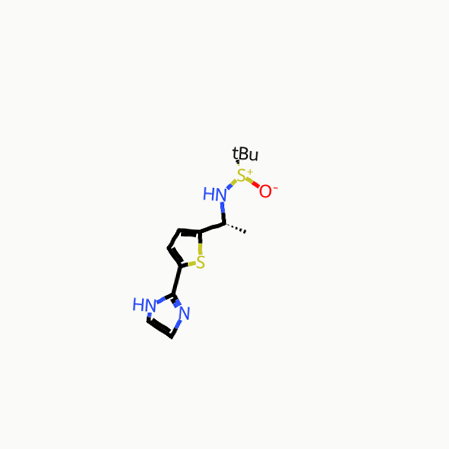 C[C@@H](N[S@@+]([O-])C(C)(C)C)c1ccc(-c2ncc[nH]2)s1